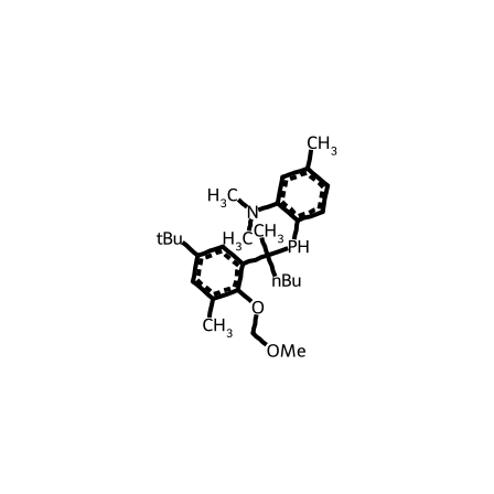 CCCCC(C)(Pc1ccc(C)cc1N(C)C)c1cc(C(C)(C)C)cc(C)c1OCOC